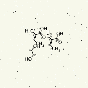 CC=C(C)C(=O)O.CC=C(C)C(=O)O.OCCO